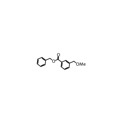 COCc1cccc(C(=O)OCc2ccccc2)c1